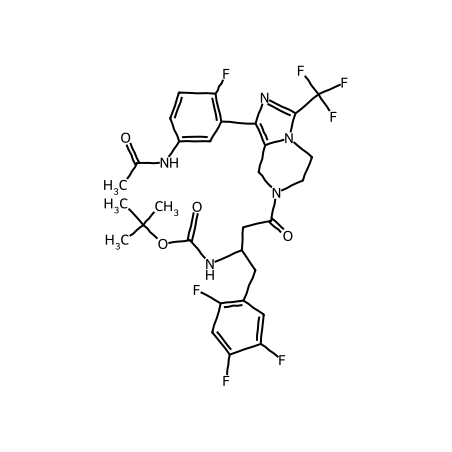 CC(=O)Nc1ccc(F)c(-c2nc(C(F)(F)F)n3c2CN(C(=O)CC(Cc2cc(F)c(F)cc2F)NC(=O)OC(C)(C)C)CC3)c1